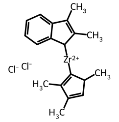 CC1=CC(C)[C]([Zr+2][CH]2C(C)=C(C)c3ccccc32)=C1C.[Cl-].[Cl-]